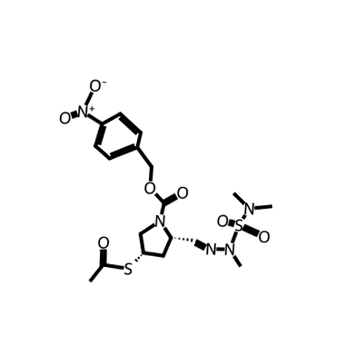 CC(=O)S[C@H]1C[C@@H](C=NN(C)S(=O)(=O)N(C)C)N(C(=O)OCc2ccc([N+](=O)[O-])cc2)C1